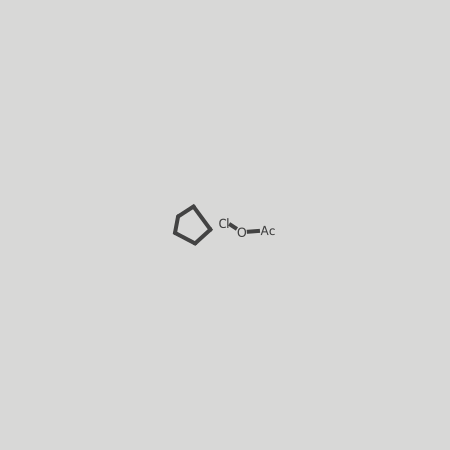 C1CCCC1.CC(=O)OCl